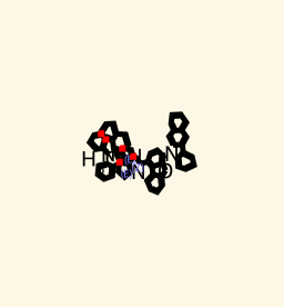 CC1C/C=C(c2cccc3c2c2ccccc2n3-c2ccccc2)/N=C(c2ccc(-n3c4ccccc4c4cc5ccccc5cc43)c3oc4ccccc4c23)\N=C/1c1ccc2ccccc2c1